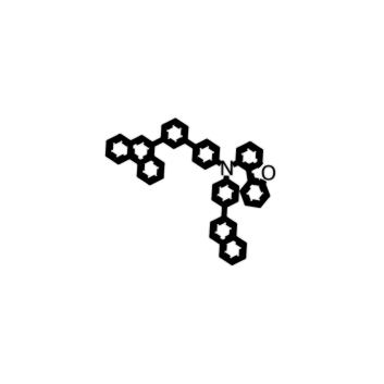 c1cc(-c2ccc(N(c3ccc(-c4ccc5ccccc5c4)cc3)c3cccc4oc5ccccc5c34)cc2)cc(-c2cc3ccccc3c3ccccc23)c1